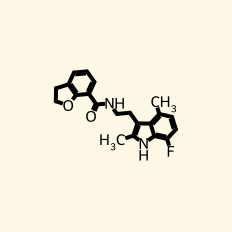 Cc1[nH]c2c(F)ccc(C)c2c1CCNC(=O)c1cccc2c1OCC2